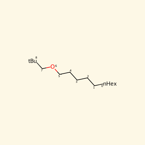 CCCCCCCCCC[CH]OCC(C)(C)C